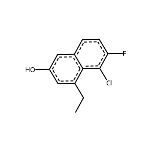 CCc1cc(O)cc2ccc(F)c(Cl)c12